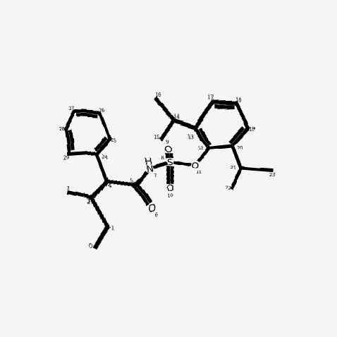 CCC(C)C(C(=O)NS(=O)(=O)Oc1c(C(C)C)cccc1C(C)C)c1ccccc1